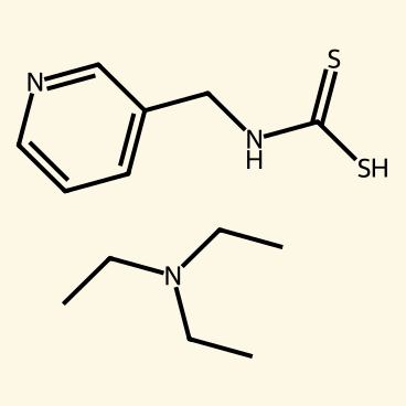 CCN(CC)CC.S=C(S)NCc1cccnc1